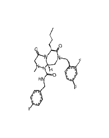 CCCC[C@H]1C(=O)N(Cc2ccc(F)cc2F)C[C@H]2N1C(=O)CN(C)N2C(=O)NCc1ccc(F)cc1